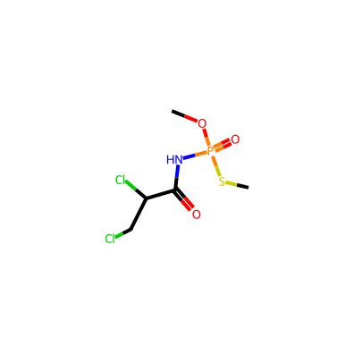 COP(=O)(NC(=O)C(Cl)CCl)SC